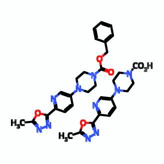 Cc1nnc(-c2ccc(N3CCN(C(=O)O)CC3)cn2)o1.Cc1nnc(-c2ccc(N3CCN(C(=O)OCc4ccccc4)CC3)cn2)o1